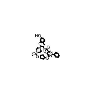 COC(=O)N1CCN(C(=O)[C@H](Cc2ccc(O)cc2)NC(=O)c2cc(OC3CCCC3)nc(-c3ccccc3)n2)CC1